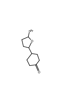 CCCC1CCC(C2CCC(=O)CC2)O1